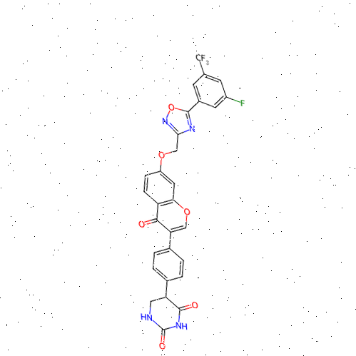 O=C1NCC(c2ccc(-c3coc4cc(OCc5noc(-c6cc(F)cc(C(F)(F)F)c6)n5)ccc4c3=O)cc2)C(=O)N1